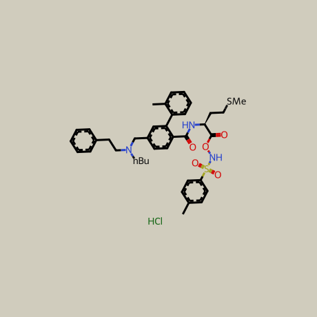 CCCCN(CCc1ccccc1)Cc1ccc(C(=O)N[C@@H](CCSC)C(=O)ONS(=O)(=O)c2ccc(C)cc2)c(-c2ccccc2C)c1.Cl